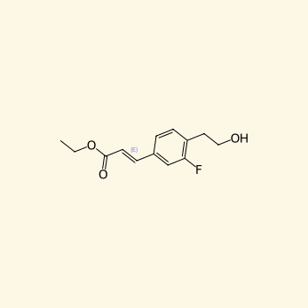 CCOC(=O)/C=C/c1ccc(CCO)c(F)c1